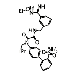 CCONC(=N)c1cccc(CNC(=O)C(=O)N(CC(C)C)c2ccc(-c3ccccc3S(N)(=O)=O)cc2)c1